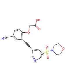 N#Cc1ccc(OCC(=O)O)c(C#Cc2cncc(S(=O)(=O)N3CCOCC3)c2)c1